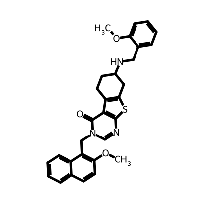 COc1ccccc1CNC1CCc2c(sc3ncn(Cc4c(OC)ccc5ccccc45)c(=O)c23)C1